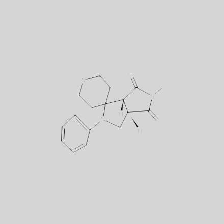 CN1C(=O)[C@@H]2[C@@H](CN(c3ccccc3)C23CCNCC3)C1=O